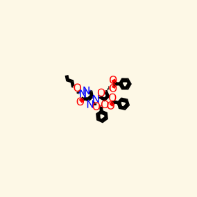 CCCCOCn1ncc2c(ncn2[C@@H]2O[C@H](COC(=O)c3ccccc3)[C@@H](OC(=O)c3ccccc3)[C@H]2OC(=O)c2ccccc2)c1=O